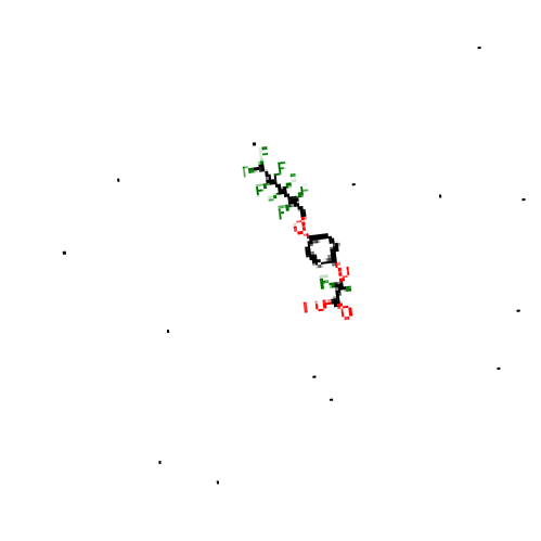 O=C(O)C(F)(F)Oc1ccc(OCC(F)(F)C(F)(F)C(F)(F)C(F)F)cc1